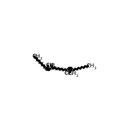 CCCCCCCCCCN1C=CN(C(Cl)CCCCCCCCC(Cl)N2C=CN(CCCCCCCCCC)C2C)C1C